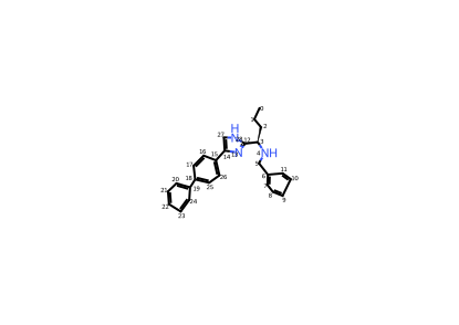 CCC[C@@H](NCc1ccccc1)c1nc(-c2ccc(-c3ccccc3)cc2)c[nH]1